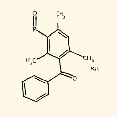 Cc1cc(C)c(C(=O)c2ccccc2)c(C)c1P=O.[KH]